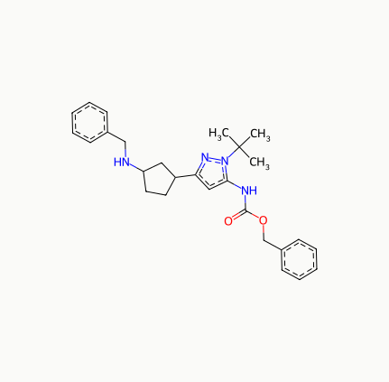 CC(C)(C)n1nc(C2CCC(NCc3ccccc3)C2)cc1NC(=O)OCc1ccccc1